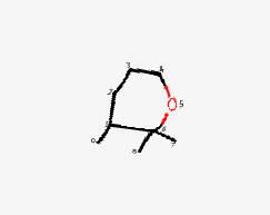 CC1CCCOC1(C)C